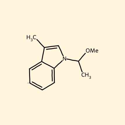 COC(C)n1cc(C)c2c[c]ccc21